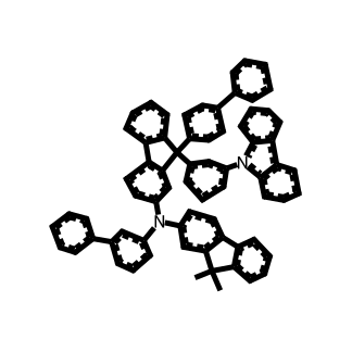 CC1(C)c2ccccc2-c2ccc(N(c3cccc(-c4ccccc4)c3)c3ccc4c(c3)C(c3ccc(-c5ccccc5)cc3)(c3cccc(-n5c6ccccc6c6ccccc65)c3)c3ccccc3-4)cc21